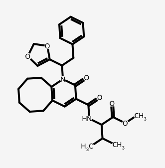 COC(=O)C(NC(=O)c1cc2c(n(C(Cc3ccccc3)C3=COCO3)c1=O)CCCCCC2)C(C)C